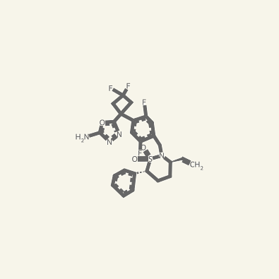 C=C[C@H]1CC[C@H](c2ccccc2)S(=O)(=O)N1Cc1cc(F)c(C2(c3nnc(N)o3)CC(F)(F)C2)cc1F